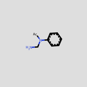 CC(=O)N(CN)c1ccccc1